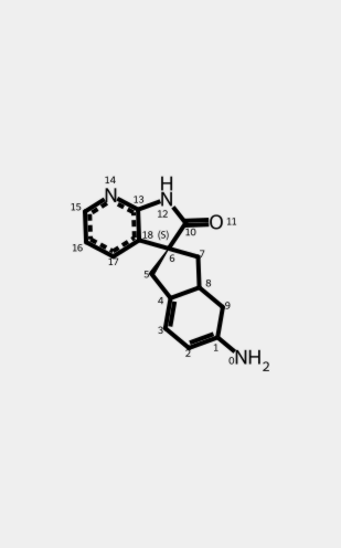 NC1=CC=C2C[C@]3(CC2C1)C(=O)Nc1ncccc13